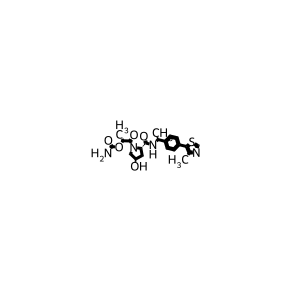 Cc1ncsc1-c1ccc([C@H](C)NC(=O)[C@@H]2C[C@@H](O)CN2C(=O)C(C)OC(N)=O)cc1